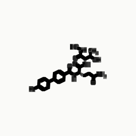 CCc1ccc(-c2ccc(C(=O)N[C@@H](CCC(N)=O)C(=O)N[C@H](C(=O)NO)[C@@H](C)O)cc2)cc1